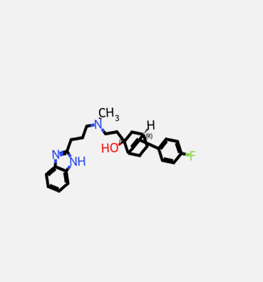 CN(CCCc1nc2ccccc2[nH]1)CC[C@]1(O)C[C@H]2CCC1C=C2c1ccc(F)cc1